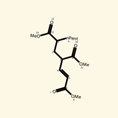 CCCCCC(CC(C=CC(=O)OC)C(=O)OC)C(=O)OC